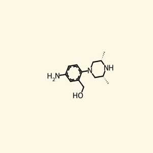 C[C@@H]1CN(c2ccc(N)cc2CO)C[C@H](C)N1